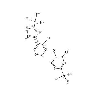 Fc1c(Oc2ccc(C(F)(F)F)cc2Cl)[c]ccc1-c1noc(C(F)(F)F)n1